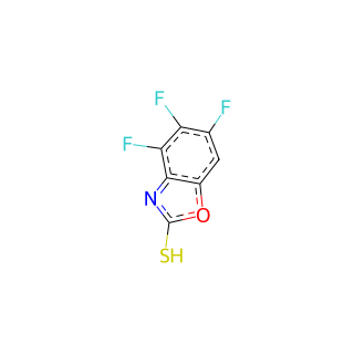 Fc1cc2oc(S)nc2c(F)c1F